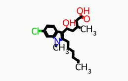 CCCCCCc1c([C@@H](O)CC(C)CC(=O)O)c2ccc(Cl)cc2n1C